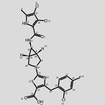 Cc1[nH]c(C(=O)N[C@H]2[C@@H]3CN(c4nc(Cc5ccc(F)cc5Cl)c(C(=O)O)s4)C[C@@H]32)c(Cl)c1Cl